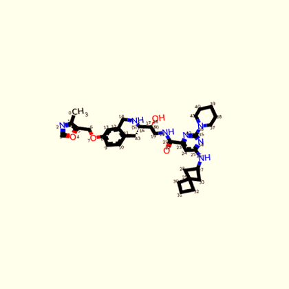 Cc1ncoc1COc1ccc2c(c1)CN[C@H]([C@H](O)CNC(=O)c1cc(NC3CC4(CCC4)C3)nc(N3CCCCC3)n1)C2